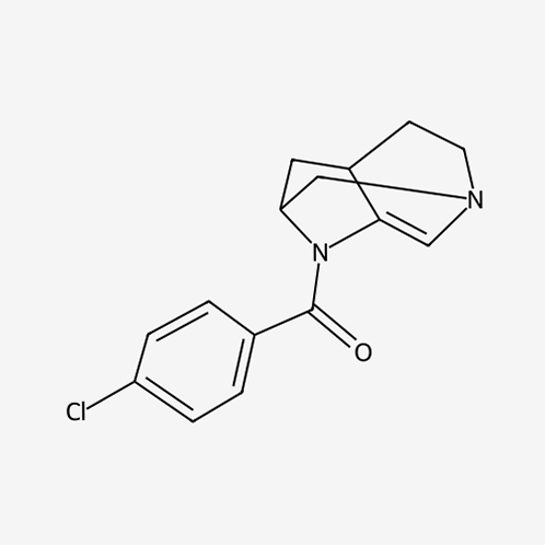 O=C(c1ccc(Cl)cc1)N1C2=CN3CCC2CC1C3